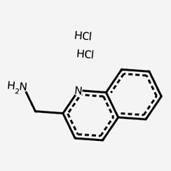 Cl.Cl.NCc1ccc2ccccc2n1